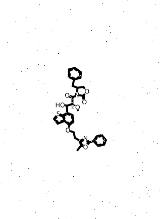 CO[C@H](C(=O)N1C(=O)OCC1Cc1ccccc1)C(O)c1ccc(OCCc2nc(-c3ccccc3)oc2C)c2ccsc12